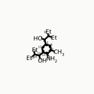 CCC(CC)C(O)c1cc(C)c(N)c(C(O)C(CC)CC)c1